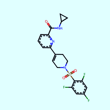 O=C(NC1CC1)c1cccc(C2=CCN(S(=O)(=O)c3c(F)cc(F)cc3F)CC2)n1